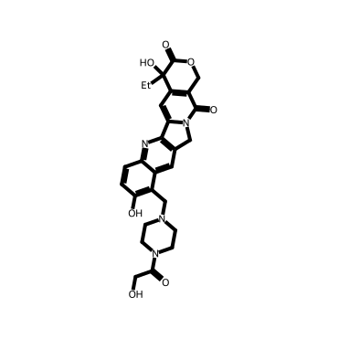 CCC1(O)C(=O)OCc2c1cc1n(c2=O)Cc2cc3c(CN4CCN(C(=O)CO)CC4)c(O)ccc3nc2-1